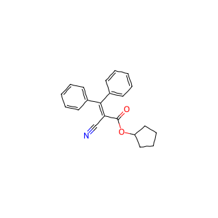 N#CC(C(=O)OC1CCCC1)=C(c1ccccc1)c1ccccc1